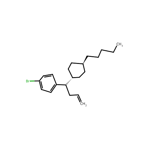 C=CCC(c1ccc(Br)cc1)[C@H]1CC[C@H](CCCCC)CC1